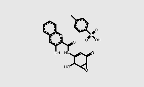 Cc1ccc(S(=O)(=O)O)cc1.O=C(NC1=CC(=O)C2OC2C1O)c1nc2ccccc2cc1O